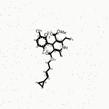 COC(=O)C1=C(CF)NC(C)=C(C(=O)OCC/C=C/C2CC2)C1c1c(F)ccc(Cl)c1C(F)(F)F